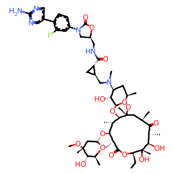 CC[C@H]1OC(=O)[C@H](C)[C@@H](O[C@H]2C[C@@](C)(OC)[C@@H](O)[C@H](C)O2)[C@H](C)[C@@H](O[C@@H]2O[C@H](C)C[C@H](N(C)C[C@H]3C[C@@H]3C(=O)NC[C@H]3CN(c4ccc(-c5cnc(N)nc5)c(F)c4)C(=O)O3)[C@H]2O)[C@](C)(OC)C[C@@H](C)C(=O)[C@H](C)[C@@H](O)[C@]1(C)O